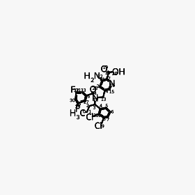 CCCC(c1cccc(Cl)c1Cl)N(Cc1cnc(C(=O)O)c(N)c1)C(=O)c1cc(F)cc(F)c1